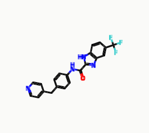 O=C(Nc1ccc(Cc2ccncc2)cc1)c1nc2cc(C(F)(F)F)ccc2[nH]1